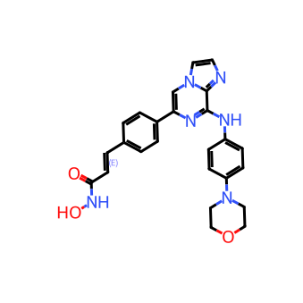 O=C(/C=C/c1ccc(-c2cn3ccnc3c(Nc3ccc(N4CCOCC4)cc3)n2)cc1)NO